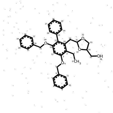 CCc1c(OCc2ccccc2)cc(OCc2ccccc2)c(-c2ccccc2)c1CC1OCC(CO)O1